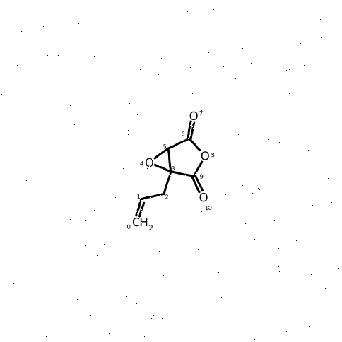 C=CCC12OC1C(=O)OC2=O